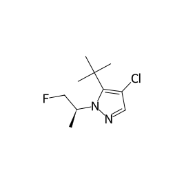 C[C@@H](CF)n1ncc(Cl)c1C(C)(C)C